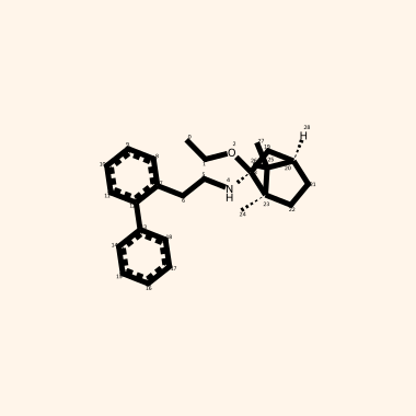 CCO[C@@]1(NCCc2ccccc2-c2ccccc2)C[C@H]2CC[C@]1(C)C2(C)C